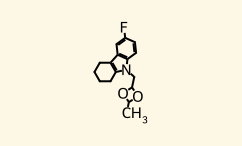 CC1OC(Cn2c3c(c4cc(F)ccc42)CCCC3)O1